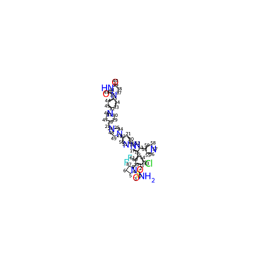 NS(=O)(=O)N1CCC(F)C1c1cc(Cl)cc(-c2cn(-c3ccc(N4CCN(CC5CCN(c6ccc(N7CCC(=O)NC7=O)cc6)CC5)CC4)cn3)nc2-c2ccncc2)c1F